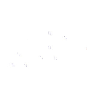 Cc1sc2c(-c3cnc(N)nc3)nc(N3CCCCC3)nc2c1CN1CCN(CCO)CC1